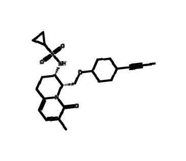 CC#CC1CCC(OC[C@H]2[C@@H](NS(=O)(=O)C3CC3)CCc3ccc(C)c(=O)n32)CC1